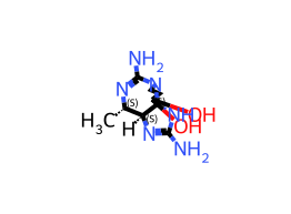 C[C@@H]1N=C(N)N2CCC(O)(O)[C@@]23NC(N)=N[C@@H]13